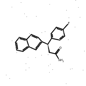 NC(=O)C[C@H](c1ccc(F)cc1)c1ccc2ccccc2c1